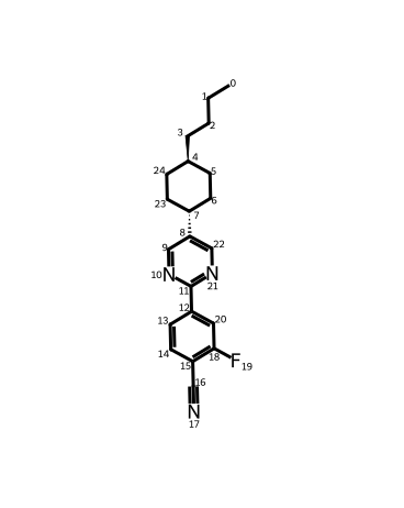 CCCC[C@H]1CC[C@H](c2cnc(-c3ccc(C#N)c(F)c3)nc2)CC1